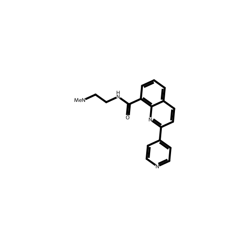 CNCCNC(=O)c1cccc2ccc(-c3ccncc3)nc12